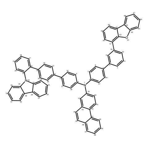 c1cc(-c2ccc(N(c3ccc(-c4ccc(-c5ccccc5-n5c6ccccc6c6ccccc65)cc4)cc3)c3ccc4c(ccc5ccccc54)c3)cc2)cc(-c2cccc3c2oc2ccccc23)c1